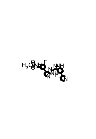 CS(=O)(=O)NCc1cc(F)cc(-c2ccnc3[nH]c(-c4n[nH]c5ccc(-c6cccnc6)c(F)c45)nc23)c1